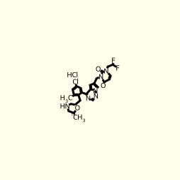 Cc1cc(Cl)cc(-c2ncnn3cc(Cn4c(=O)ccn(CC(F)F)c4=O)cc23)c1CC1CNC[C@H](C)O1.Cl